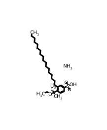 CCCCCCCCCCCCCCCCCCc1cc(S(=O)(=O)O)ccc1C(C)(C)OCC.N